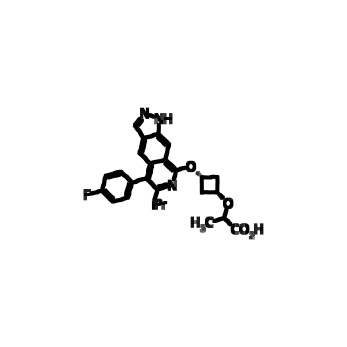 CC(O[C@H]1C[C@H](Oc2nc(C(C)C)c(-c3ccc(F)cc3)c3cc4cn[nH]c4cc23)C1)C(=O)O